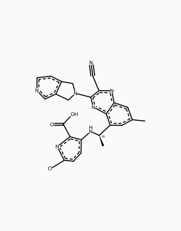 Cc1cc([C@@H](C)Nc2ccc(Cl)nc2C(=O)O)c2nc(N3Cc4ccncc4C3)c(C#N)nc2c1